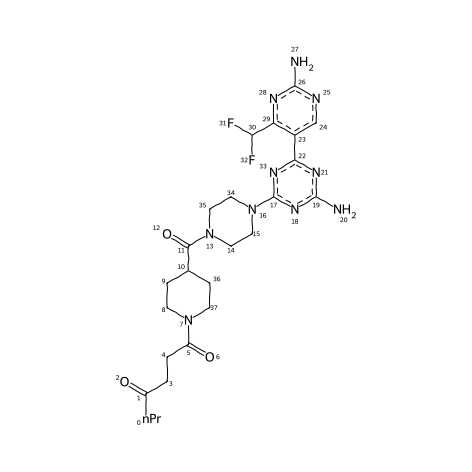 CCCC(=O)CCC(=O)N1CCC(C(=O)N2CCN(c3nc(N)nc(-c4cnc(N)nc4C(F)F)n3)CC2)CC1